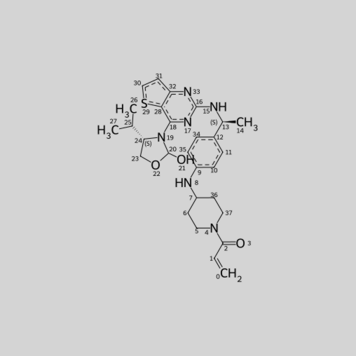 C=CC(=O)N1CCC(Nc2ccc([C@H](C)Nc3nc(N4C(O)OC[C@@H]4C(C)C)c4sccc4n3)cc2)CC1